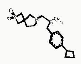 C[C@H](Cc1ccc(C2CCC2)cc1)CN1CCC2(C1)CS(=O)(=O)C2